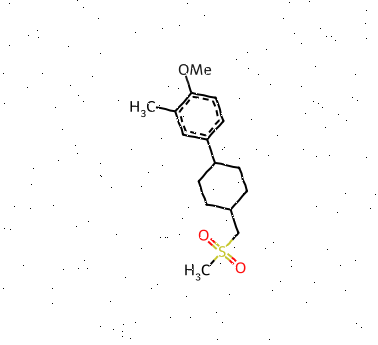 COc1ccc(C2CCC(CS(C)(=O)=O)CC2)cc1C